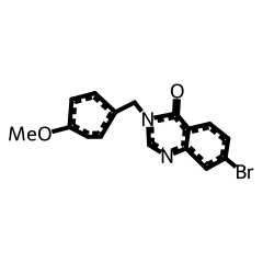 COc1ccc(Cn2cnc3cc(Br)ccc3c2=O)cc1